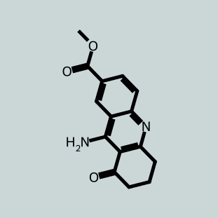 COC(=O)c1ccc2nc3c(c(N)c2c1)C(=O)CCC3